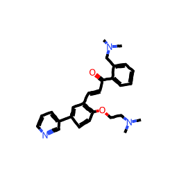 CN(C)CCOc1ccc(-c2cccnc2)cc1C=CC(=O)c1ccccc1CN(C)C